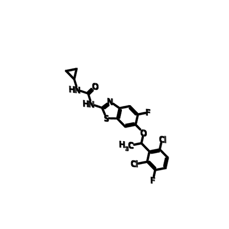 CC(Oc1cc2sc(NC(=O)NC3CC3)nc2cc1F)c1c(Cl)ccc(F)c1Cl